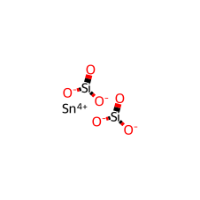 O=[Si]([O-])[O-].O=[Si]([O-])[O-].[Sn+4]